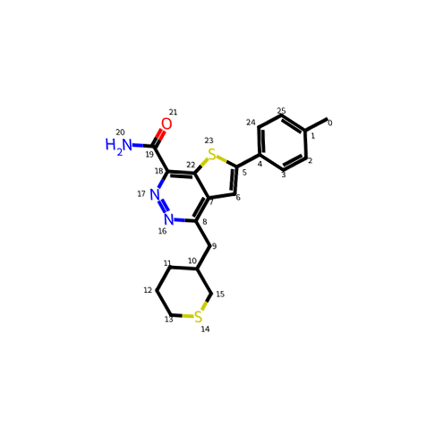 Cc1ccc(-c2cc3c(CC4CCCSC4)nnc(C(N)=O)c3s2)cc1